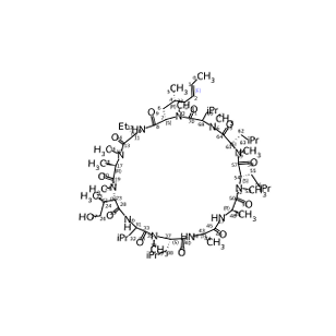 C/C=C/C[C@@H](C)C[C@H]1C(=O)N[C@@H](CC)C(=O)N(C)[C@H](C)C(=O)N(C)[C@@H]([C@H](C)CO)C(=O)NC(C(C)C)C(=O)N(C)[C@@H](CC(C)C)C(=O)N[C@@H](C)C(=O)N[C@H](C)C(=O)N(C)[C@@H](CC(C)C)C(=O)N(C)[C@@H](CC(C)C)C(=O)N(C)C(C(C)C)C(=O)N1C